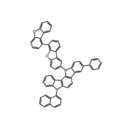 c1ccc(-c2ccc3c(c2)c2ccc4c(c5ccccc5n4-c4cccc5ccccc45)c2n3-c2ccc3oc4c(-c5cccc6oc7ccccc7c56)cccc4c3c2)cc1